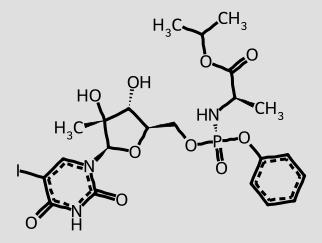 CC(C)OC(=O)[C@@H](C)N[P@](=O)(OC[C@H]1O[C@@H](n2cc(I)c(=O)[nH]c2=O)[C@](C)(O)[C@@H]1O)Oc1ccccc1